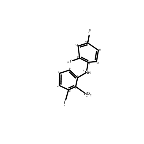 O=[N+]([O-])c1c(F)cccc1Nc1ccc(F)cc1F